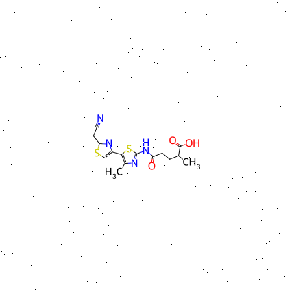 Cc1nc(NC(=O)CCC(C)C(=O)O)sc1-c1csc(CC#N)n1